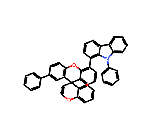 c1ccc(-c2ccc3c(c2)C2(c4ccccc4Oc4ccccc42)c2cccc(-c4cccc5c6ccccc6n(-c6ccccc6)c45)c2O3)cc1